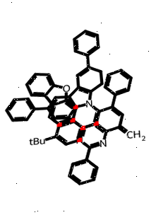 C=C(/C=C(\C(=C\c1c#cc(C(C)(C)C)cc1)n1c2c(c3cc(-c4ccccc4)ccc31)C=C(c1ccccc1)CC2)c1ccccc1)c1cc(-c2ccc3c(c2)oc2ccccc23)nc(-c2ccccc2)n1